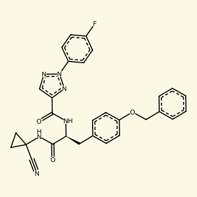 N#CC1(NC(=O)[C@H](Cc2ccc(OCc3ccccc3)cc2)NC(=O)c2cnn(-c3ccc(F)cc3)n2)CC1